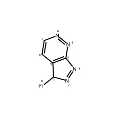 CC(C)C1N=Nc2nnccc21